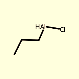 CC[CH2][AlH][Cl]